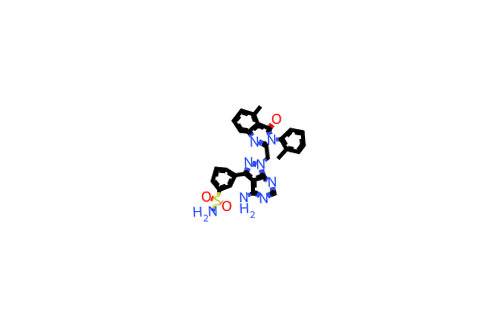 Cc1ccccc1-n1c(Cn2nc(-c3cccc(S(N)(=O)=O)c3)c3c(N)ncnc32)nc2cccc(C)c2c1=O